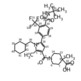 Cc1c(C(=O)N2CCC(C)(C(=O)O)CC2)cc(-c2ccc(S(=O)(=O)NC(C)(C)C)c(C(F)(F)F)c2)n1CC1CCCCC1